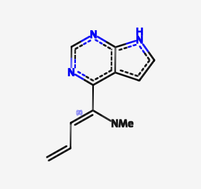 C=C/C=C(\NC)c1ncnc2[nH]ccc12